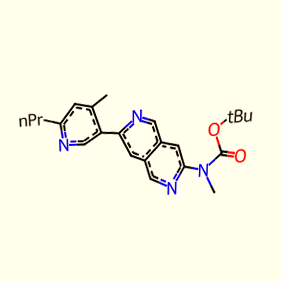 CCCc1cc(C)c(-c2cc3cnc(N(C)C(=O)OC(C)(C)C)cc3cn2)cn1